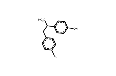 CC(=O)c1ccc(CC(C(=O)O)c2ccc(O)cc2)cc1